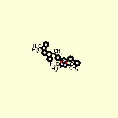 CC/C1=C(c2cccc3c2oc2ccccc23)/N=C(/c2ccc(C(C)C3Cc4c(ccc5c4-c4ccccc4C5(C)C)-c4ccccc43)cc2)C(C)/C(C)=C(\C2=CC=CCC2)C1